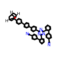 N#Cc1ccc(-c2ccccc2-c2nc(-c3ccc(-c4ccc(-c5ccc(C67C[C@H]8C[C@H](C6)C[C@@H](C7)C8)cc5)cc4)cc3)nc(-c3ccccc3-c3ccc(C#N)cc3)n2)cc1